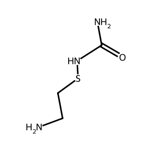 NCCSNC(N)=O